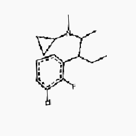 CCC(c1cccc(Cl)c1F)C(C)N(C)C1CC1